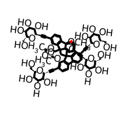 CC(=O)OCC1(C(OC(C)=O)C2(COC(C)=O)c3cc(C#C[C@H]4O[C@H](CO)[C@@H](O)[C@H](O)[C@@H]4O)ccc3-c3ccc(C#C[C@H]4O[C@H](CO)[C@@H](O)[C@H](O)[C@@H]4O)cc32)c2cc(C#C[C@H]3O[C@H](CO)[C@@H](O)[C@H](O)[C@@H]3O)ccc2-c2ccc(C#C[C@H]3O[C@H](CO)[C@@H](O)[C@H](O)[C@@H]3O)cc21